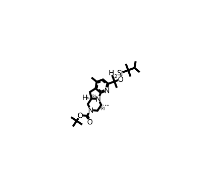 Cc1cc(C(C)(C)O[SiH2]C(C)(C)C(C)C)nc2c1C[C@@H]1CN(C(=O)OC(C)(C)C)C[C@@H](C)N21